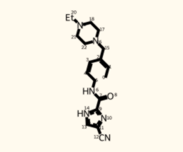 C/C=C(\C=C/CNC(=O)c1nc(C#N)c[nH]1)CN1CCN(CC)CC1